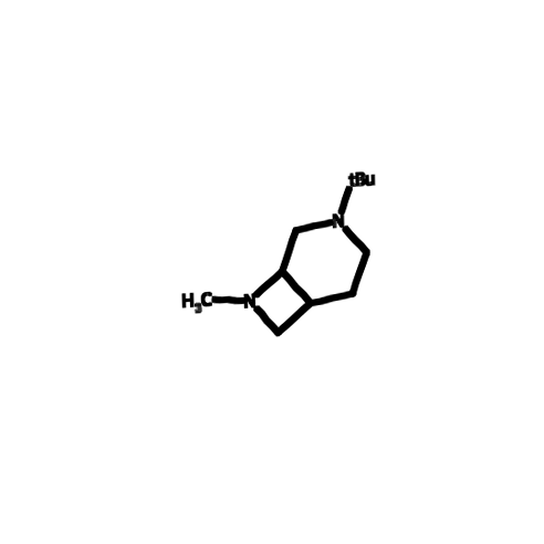 CN1CC2CCN(C(C)(C)C)CC21